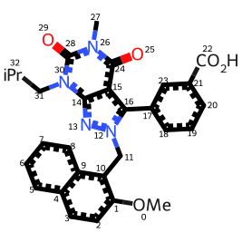 COc1ccc2ccccc2c1Cn1nc2c(c1-c1cccc(C(=O)O)c1)c(=O)n(C)c(=O)n2CC(C)C